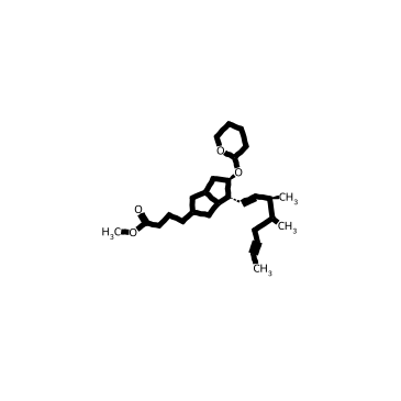 CC#CCC(C)[C@H](C)/C=C/[C@@H]1C2CC(CCCC(=O)OC)CC2C[C@H]1OC1CCCCO1